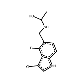 CC(O)NCc1ccc2[nH]cc(Cl)c2c1F